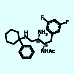 CC(=O)N[C@@H](Cc1cc(F)cc(F)c1)[C@@H](N)CNC1(c2ccccc2)CCCCC1